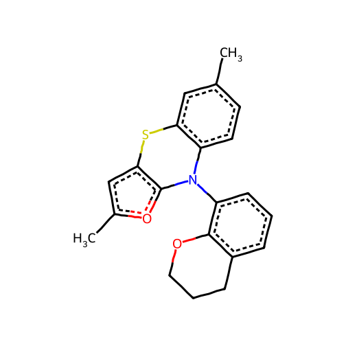 Cc1ccc2c(c1)Sc1cc(C)oc1N2c1cccc2c1OCCC2